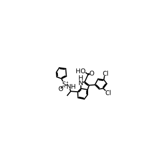 CC(N[S+]([O-])c1ccccc1)c1cccc2c(-c3cc(Cl)cc(Cl)c3)c(C(=O)O)[nH]c12